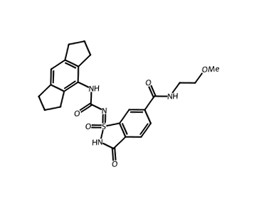 COCCNC(=O)c1ccc2c(c1)S(=O)(=NC(=O)Nc1c3c(cc4c1CCC4)CCC3)NC2=O